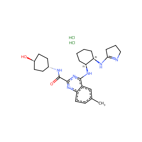 Cc1ccc2nc(C(=O)N[C@H]3CC[C@H](O)CC3)nc(N[C@H]3CCCC[C@H]3NC3=NCCC3)c2c1.Cl.Cl